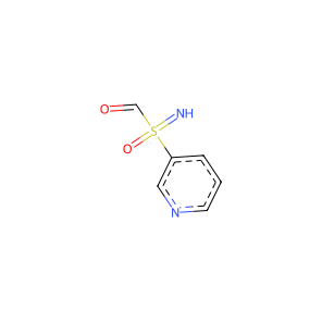 N=S(=O)(C=O)c1cccnc1